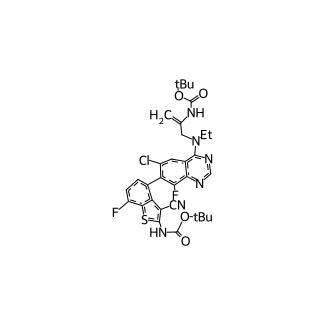 C=C(CN(CC)c1ncnc2c(F)c(-c3ccc(F)c4sc(NC(=O)OC(C)(C)C)c(C#N)c34)c(Cl)cc12)NC(=O)OC(C)(C)C